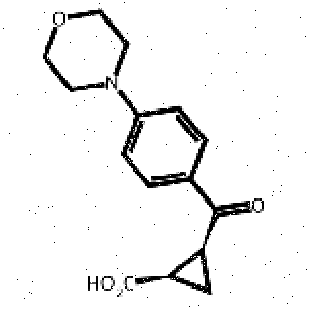 O=C(c1ccc(N2CCOCC2)cc1)[C@H]1C[C@H]1C(=O)O